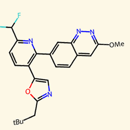 COc1cc2ccc(-c3nc(C(F)F)ccc3-c3cnc(CC(C)(C)C)o3)cc2nn1